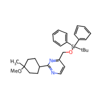 COC1(C)CCC(c2nccc(CO[Si](c3ccccc3)(c3ccccc3)C(C)(C)C)n2)CC1